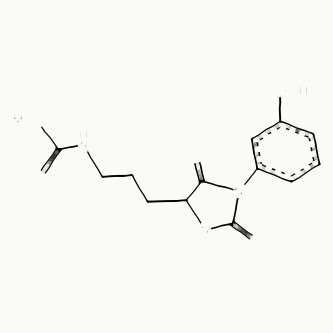 COC(=O)NCCCC1NC(=O)N(c2cccc(C(=O)O)c2)C1=O